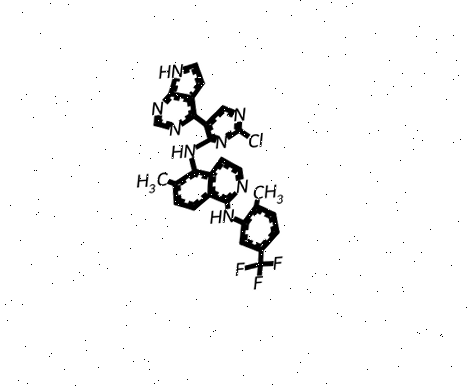 Cc1ccc(C(F)(F)F)cc1Nc1nccc2c(Nc3nc(Cl)ncc3-c3ncnc4[nH]ccc34)c(C)ccc12